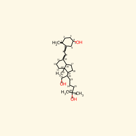 C=C1CCC(O)CC1=CC=C1CCCC2(C)C1CCC2C(CO)CCCC(C)(C)O